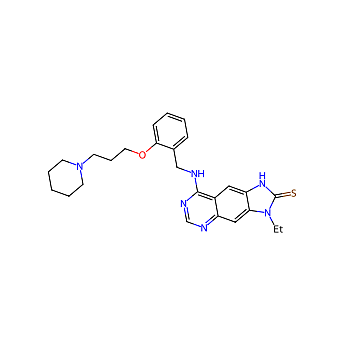 CCn1c(=S)[nH]c2cc3c(NCc4ccccc4OCCCN4CCCCC4)ncnc3cc21